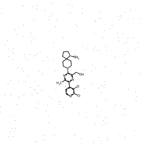 Cc1nc(N2CCC3(CCC[C@H]3N)CC2)c(CO)nc1-c1ccnc(Cl)c1Cl